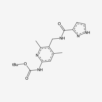 Cc1cc(NC(=O)OC(C)(C)C)nc(C)c1CNC(=O)c1cc[nH]n1